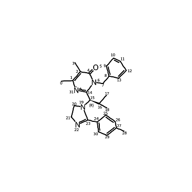 CC1=C(C)C(=O)N(Cc2ccccc2)C([C@@H](C(C)C)N2CCN=C2c2ccc(C)cc2)=[N+]1